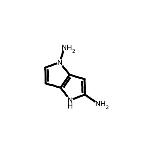 Nc1cc2c(ccn2N)[nH]1